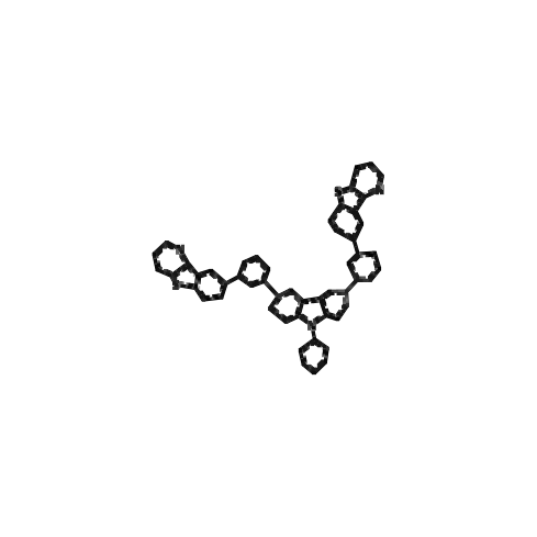 c1ccc(-n2c3ccc(-c4cccc(-c5ccc6sc7cccnc7c6c5)c4)cc3c3cc(-c4cccc(-c5ccc6sc7cccnc7c6c5)c4)ccc32)cc1